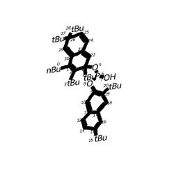 CCCCC1=C(C(C)(C)C)C(OP(O)Oc2cc3ccc(C(C)(C)C)cc3cc2C(C)(C)C)(C(C)(C)C)C=C2C=CC(C(C)(C)C)(C(C)(C)C)C=C21